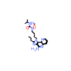 CCCc1nc2c(N)nc3cccnc3c2n1CCCCN(OC)C(=O)NC(C)C